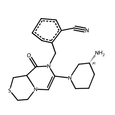 N#Cc1ccccc1CN1C(=O)C2CSCCN2C=C1N1CCC[C@@H](N)C1